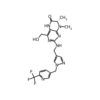 C[C@H]1C(=O)Nc2c(CO)nc(NCc3cnn(Cc4ccc(C(F)(F)F)nc4)c3)nc2N1C